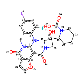 Cn1c(Nc2ccc(I)cc2F)c(C(=O)N2CC(O)(C3CCCCN3C(=O)O)C2)c2occc2c1=O